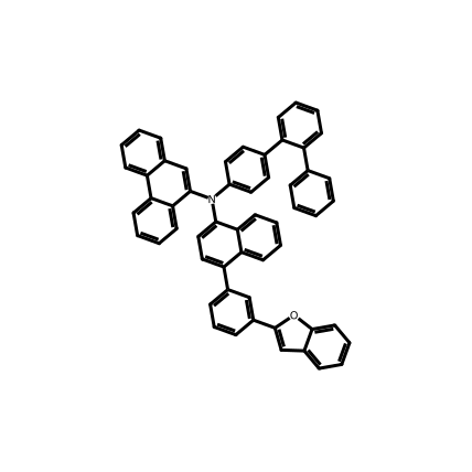 c1ccc(-c2ccccc2-c2ccc(N(c3ccc(-c4cccc(-c5cc6ccccc6o5)c4)c4ccccc34)c3cc4ccccc4c4ccccc34)cc2)cc1